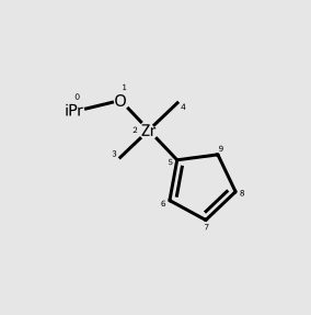 CC(C)[O][Zr]([CH3])([CH3])[C]1=CC=CC1